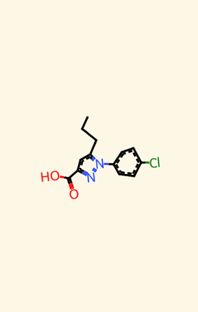 CCCc1cc(C(=O)O)nn1-c1ccc(Cl)cc1